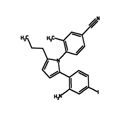 CCCc1ccc(-c2ccc(I)cc2N)n1-c1ccc(C#N)cc1C